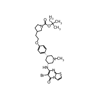 CN1C[C@H](Nc2nc3sccn3c(=O)c2Br)C[C@H](c2ccc(OCCC3CCN(C(=O)OC(C)(C)C)C3)cc2)C1